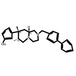 C[C@H]1CN2CCN(Cc3ccc(-c4ccccc4)cc3)C[C@H]2C[C@@]1(C)c1cccc(O)c1